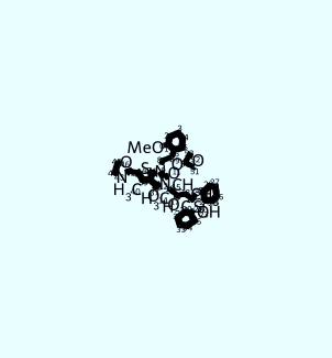 COc1ccccc1C(Cn1c(=O)n(C(C)(C)C(=O)CC(C)(C)[Si](O)(c2ccccc2)c2ccccc2)c(=O)c2c(C)c(-c3ncco3)sc21)OC1COC1